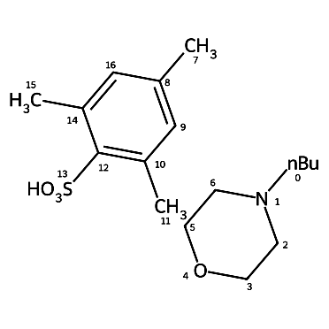 CCCCN1CCOCC1.Cc1cc(C)c(S(=O)(=O)O)c(C)c1